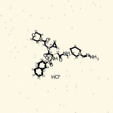 Cl.NN=CN1CCC[C@@H](CNC(=O)C[C@H](NS(=O)(=O)c2ccc3ccccc3c2)C(=O)N(CC(=O)N2CCOCC2)C2CC2)C1